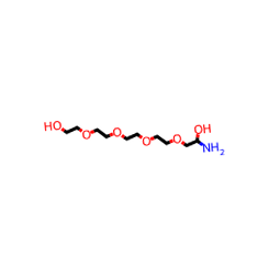 NC(O)COCCOCCOCCOCCO